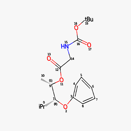 CC(C)[C@@H](Oc1ccccc1)[C@H](C)OC(=O)CNC(=O)OC(C)(C)C